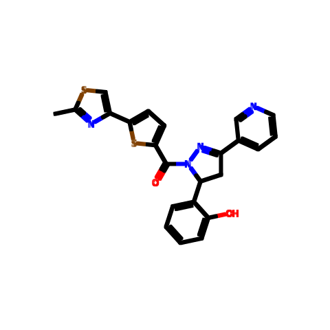 Cc1nc(-c2ccc(C(=O)N3N=C(c4cccnc4)CC3c3ccccc3O)s2)cs1